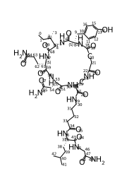 CC[C@H](C)[C@@H]1NC(=O)[C@H](Cc2ccc(O)cc2)NC(=O)CCC(=O)NC[C@@H](C(=O)NCCCCC(=O)N[C@@H](CCC(C)C)C(=O)NCC(N)=O)NC(=O)[C@H](CC(N)=O)NC(=O)[C@H](CCC(N)=O)NC1=O